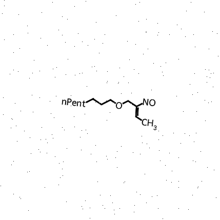 CC=C(COCCCCCCCC)N=O